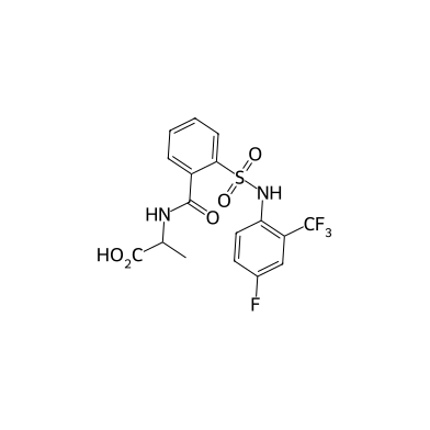 CC(NC(=O)c1ccccc1S(=O)(=O)Nc1ccc(F)cc1C(F)(F)F)C(=O)O